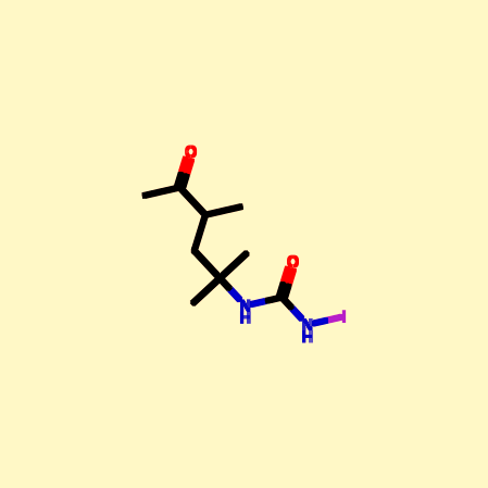 CC(=O)C(C)CC(C)(C)NC(=O)NI